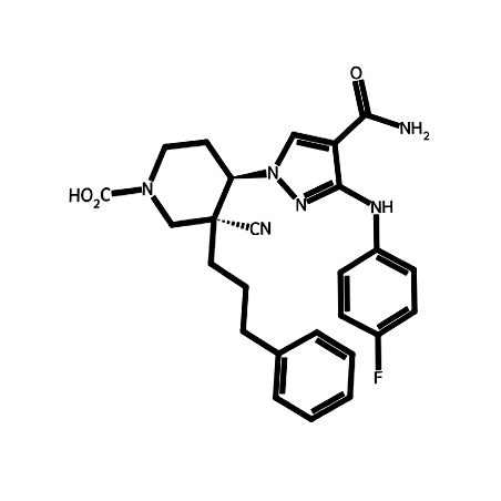 N#C[C@]1(CCCc2ccccc2)CN(C(=O)O)CC[C@H]1n1cc(C(N)=O)c(Nc2ccc(F)cc2)n1